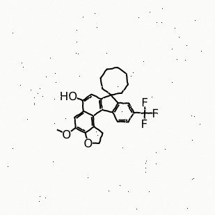 COc1cc2c(O)cc3c(c2c2c1OCC2)-c1ccc(C(F)(F)F)cc1C31CCCCCCC1